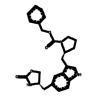 O=C1N[C@@H](Cc2ccc3[nH]cc(C[C@H]4CCCN4C(=O)OCc4ccccc4)c3c2)CO1